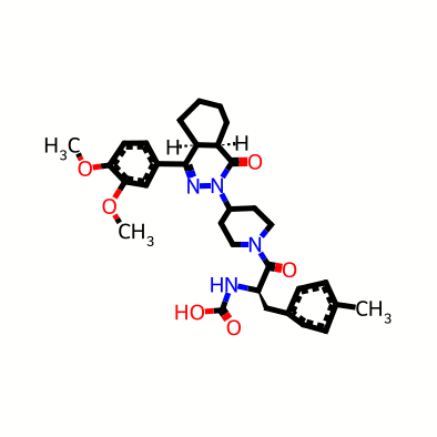 COc1ccc(C2=NN(C3CCN(C(=O)[C@@H](Cc4ccc(C)cc4)NC(=O)O)CC3)C(=O)[C@@H]3CCCC[C@H]23)cc1OC